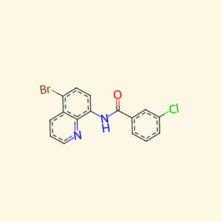 O=C(Nc1ccc(Br)c2cccnc12)c1cccc(Cl)c1